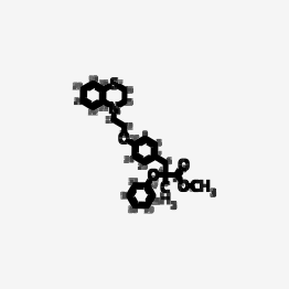 COC(=O)C(C)(Cc1ccc(OCCN2CCSc3ccccc32)cc1)Oc1ccccc1